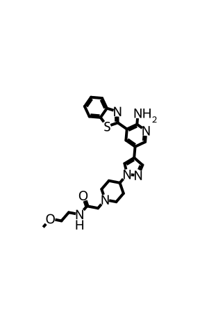 COCCNC(=O)CN1CCC(n2cc(-c3cnc(N)c(-c4nc5ccccc5s4)c3)cn2)CC1